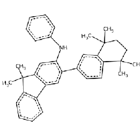 CC1(C)CCC(C)(C)c2cc(-c3cc4c(cc3Nc3ccccc3)C(C)(C)c3ccccc3-4)ccc21